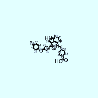 O=C(O)N1CCC(CNc2ncnc3[nH]cc(C(=O)N4CC(Oc5ccc(F)cc5)C4)c23)CC1